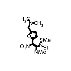 CCN(SC)C(NC)=C(c1ccc(CN(C)C)o1)[N+](=O)[O-]